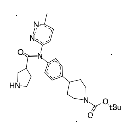 Cc1ccc(N(C(=O)C2CCNC2)c2ccc(C3CCN(C(=O)OC(C)(C)C)CC3)cc2)nn1